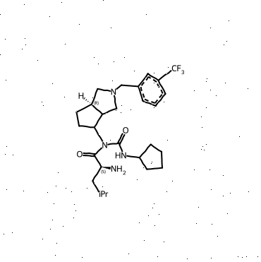 CC(C)C[C@H](N)C(=O)N(C(=O)NC1CCCC1)C1CC[C@H]2CN(Cc3cccc(C(F)(F)F)c3)CC12